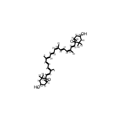 CC(C=CC=C(C)C=CC12OC1(C)CC(O)CC2(C)C)=CC=CC=C(C)C=CC=C(C)C=CC12OC1(C)CC(O)CC2(C)C